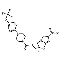 C[C@]1(COC(=O)N2CCN(c3ccc(OC(F)(F)F)cc3)CC2)Cn2cc([N+](=O)[O-])nc2O1